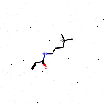 C=CC(=O)NCCC[SiH](C)C